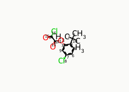 CC(C)(C)c1ccc(Cl)cc1OC(=O)C(=O)Cl